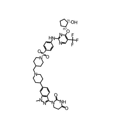 Cn1nc(N2CCC(=O)NC2=O)c2ccc(C3CCN(CC4CCN(S(=O)(=O)c5ccc(Nc6ncc(C(F)(F)F)c(O[C@@H]7CCC[C@@H]7O)n6)cc5)CC4)CC3)cc21